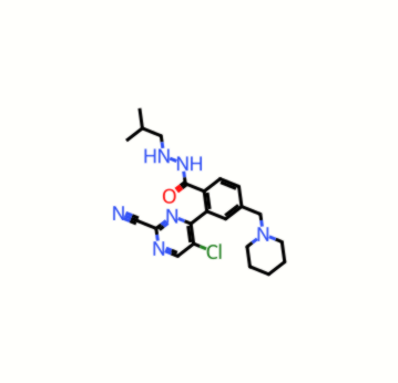 CC(C)CNNC(=O)c1ccc(CN2CCCCC2)cc1-c1nc(C#N)ncc1Cl